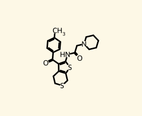 Cc1ccc(C(=O)c2c(NC(=O)CN3CCCCC3)sc3c2CCSC3)cc1